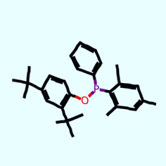 Cc1cc(C)c(P(Oc2ccc(C(C)(C)C)cc2C(C)(C)C)c2ccccc2)c(C)c1